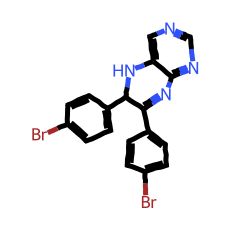 Brc1ccc(C2=Nc3ncncc3NC2c2ccc(Br)cc2)cc1